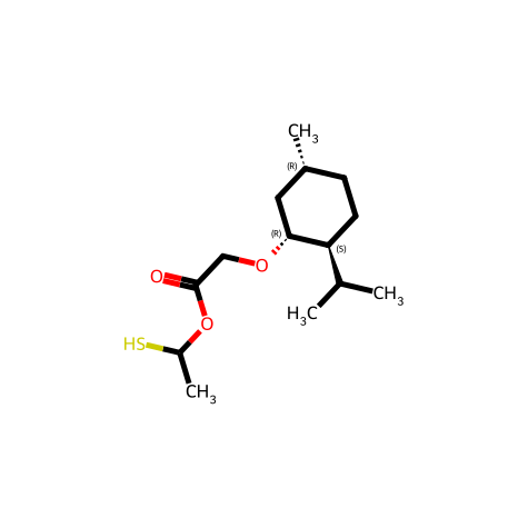 CC(S)OC(=O)CO[C@@H]1C[C@H](C)CC[C@H]1C(C)C